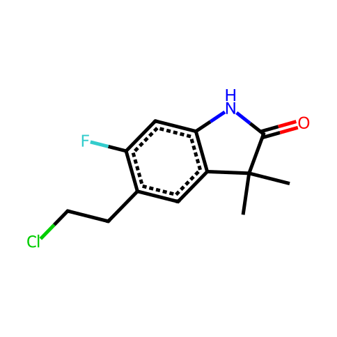 CC1(C)C(=O)Nc2cc(F)c(CCCl)cc21